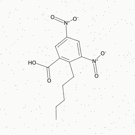 CCCCCc1c(C(=O)O)cc([N+](=O)[O-])cc1[N+](=O)[O-]